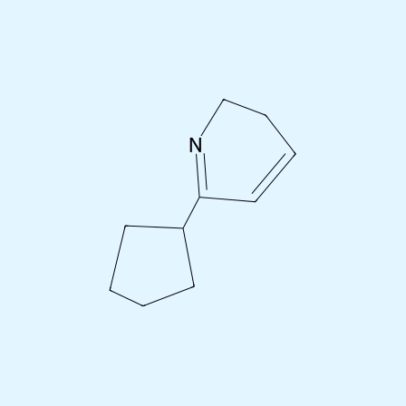 C1=CC(C2CCCC2)=NCC1